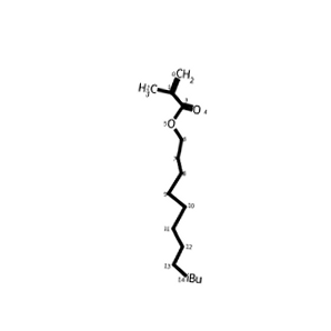 C=C(C)C(=O)OCCCCCCCCC(C)CC